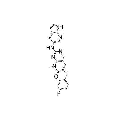 Cn1c(=O)c(Cc2ccc(F)cc2)cc2cnc(Nc3cnc4[nH]ccc4c3)nc21